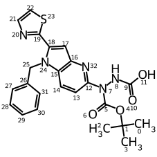 CC(C)(C)OC(=O)N(NC(=O)O)c1ccc2c(cc(-c3nccs3)n2Cc2ccccc2)n1